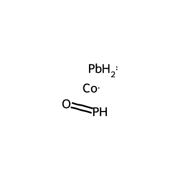 O=P.[Co].[PbH2]